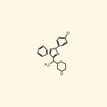 CC(c1ccn(-c2ccc(Cl)cc2)n1)C1CNCCO1.c1ccccc1